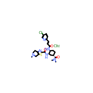 CN1CCc2nc(C(=O)N[C@@H]3C[C@@H](C(=O)N(C)C)CC[C@@H]3NC(=O)C=Cc3ccc(Cl)cn3)sc2C1.Cl